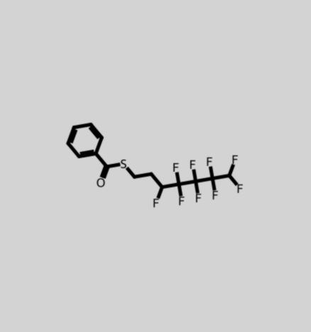 O=C(SCCC(F)C(F)(F)C(F)(F)C(F)(F)C(F)F)c1ccccc1